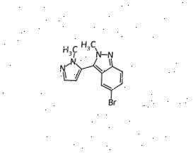 Cn1nccc1-c1c2cc(Br)ccc2nn1C